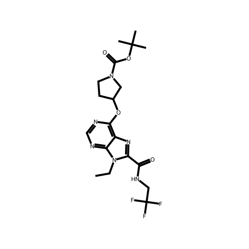 CCn1c(C(=O)NCC(F)(F)F)nc2c(OC3CCN(C(=O)OC(C)(C)C)C3)ncnc21